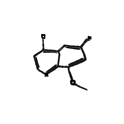 COc1cc(F)cc2c(Cl)ccnc12